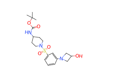 CC(C)(C)OC(=O)NC1CCN(S(=O)(=O)c2cccc(N3CC(O)C3)c2)CC1